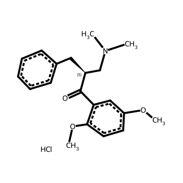 COc1ccc(OC)c(C(=O)[C@@H](Cc2ccccc2)CN(C)C)c1.Cl